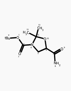 CC(C)(C)OC(=O)N1CC(C(N)=O)OC1(C)C